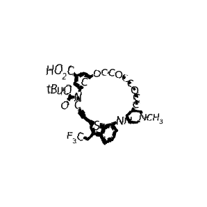 CN1CCC2Nc3cccc4c(CC(F)(F)F)c(sc34)C#CCN(C(=O)OC(C)(C)C)c3cc(cc(C(=O)O)c3)OCCOCCOCCC2C1